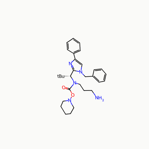 CC(C)(C)[C@H](c1nc(-c2ccccc2)cn1Cc1ccccc1)N(CCCN)C(=O)ON1CCCCC1